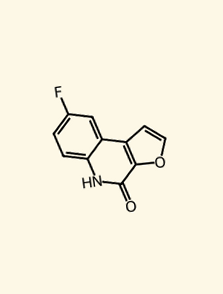 O=c1[nH]c2ccc(F)cc2c2ccoc12